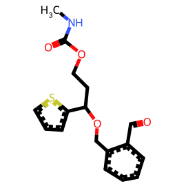 CNC(=O)OCCC(OCc1ccccc1C=O)c1cccs1